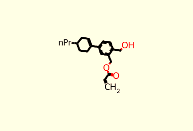 C=CC(=O)OCc1cc(C2=CCC(CCC)CC2)ccc1CO